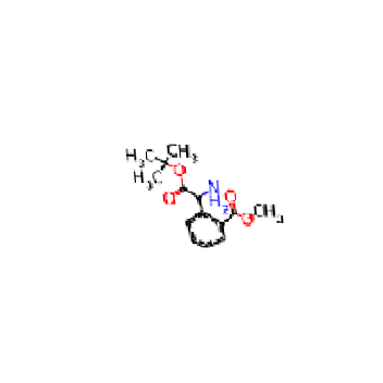 COC(=O)c1ccccc1C(N)C(=O)OC(C)(C)C